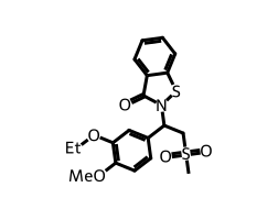 CCOc1cc(C(CS(C)(=O)=O)n2sc3ccccc3c2=O)ccc1OC